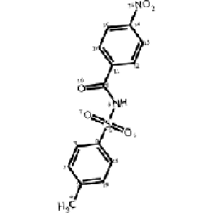 Cc1ccc(S(=O)(=O)NC(=O)c2ccc([N+](=O)[O-])cc2)cc1